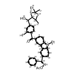 CCn1c2ccc(C(=O)c3ccc(C(O)C4SC(C)(CC)SC4C)cc3F)cc2c2cc(/C(=N/OC(C)=O)c3ccccc3)ccc21